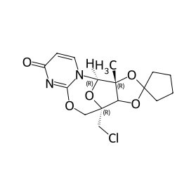 C[C@@]12OC3(CCCC3)OC1[C@@]1(CCl)COc3nc(=O)ccn3[C@@H]2O1